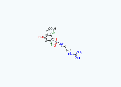 N=C(N)NCCCCNC(=O)Oc1c(Br)cc(O)c(CC(=O)O)c1Br